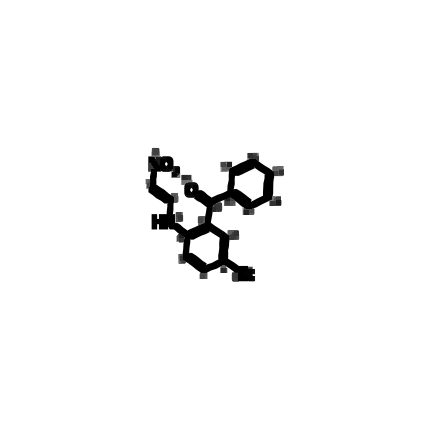 CCc1ccc(NC=C[N+](=O)[O-])c(C(=O)c2ccccc2)c1